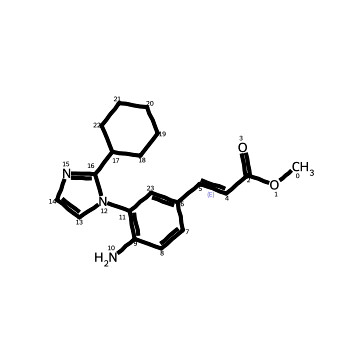 COC(=O)/C=C/c1ccc(N)c(-n2ccnc2C2CCCCC2)c1